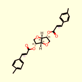 Cc1ccc(/C=C/C(=O)O[C@@H]2CO[C@H]3[C@@H]2OC[C@H]3OC(=O)/C=C/c2ccc(C)cc2)cc1